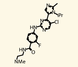 CNCCNC(=O)c1ccc(Nc2ncc(Cl)c(-c3cnc(C)n3C(C)C)n2)cc1F